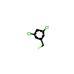 FCc1cc(Cl)cc(Cl)c1